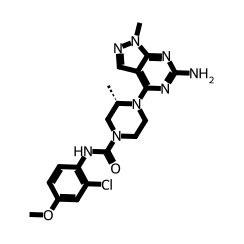 COc1ccc(NC(=O)N2CCN(c3nc(N)nc4c3cnn4C)[C@@H](C)C2)c(Cl)c1